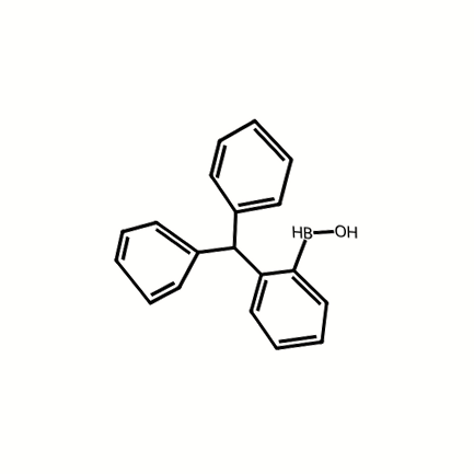 OBc1ccccc1C(c1ccccc1)c1ccccc1